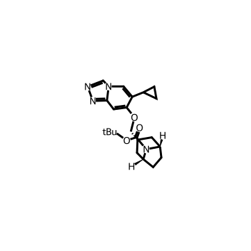 CC(C)(C)OC(=O)N1[C@@H]2CC[C@H]1C[C@@H](COc1cc3nncn3cc1C1CC1)C2